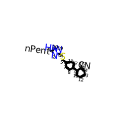 CCCCCc1nc(SCc2ccc(-c3ccccc3C#N)cc2)n[nH]1